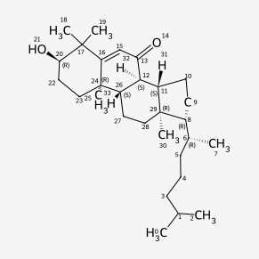 CC(C)CCC[C@@H](C)[C@H]1CC[C@H]2[C@@H]3C(=O)C=C4C(C)(C)[C@H](O)CC[C@]4(C)[C@H]3CC[C@]12C